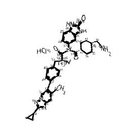 Cc1cc2nc(C3CC3)nn2cc1-c1ccc(C[C@H](N)C(=O)N(c2ccc3[nH]c(=O)[nH]c3c2)C(=O)[C@H]2CC[C@H](CN)CC2)cc1.Cl